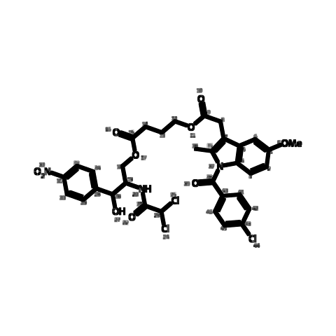 COc1ccc2c(c1)c(CC(=O)OCCCC(=O)OCC(NC(=O)C(Cl)Cl)C(O)c1ccc([N+](=O)[O-])cc1)c(C)n2C(=O)c1ccc(Cl)cc1